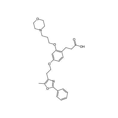 Cc1oc(-c2ccccc2)nc1CCOc1ccc(CCC(=O)O)c(OCCCN2CCOCC2)c1